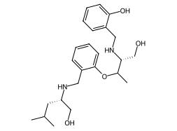 CC(C)C[C@@H](CO)NCc1ccccc1OC(C)[C@@H](CO)NCc1ccccc1O